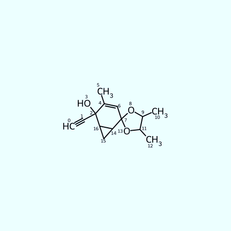 C#CC1(O)C(C)=CC2(OC(C)C(C)O2)C2CC21